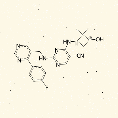 CC1(C)[C@@H](O)C[C@H]1Nc1nc(NCc2cncnc2-c2ccc(F)cc2)ncc1C#N